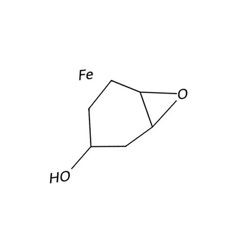 OC1CCC2OC2C1.[Fe]